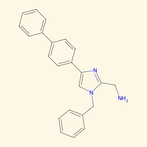 NCc1nc(-c2ccc(-c3ccccc3)cc2)cn1Cc1ccccc1